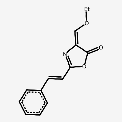 CCOC=C1N=C(C=Cc2ccccc2)OC1=O